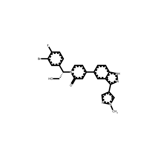 Cn1cc(-c2n[nH]c3ccc(-c4ccn([C@H](CO)c5ccc(F)c(Br)c5)c(=O)c4)cc23)cn1